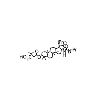 CC(C)C1=C2C3CCC4[C@@]5(C)CC[C@H](OC(=O)CC(C)(C)C(=O)O)C(C)(C)C5CC[C@@]4(C)[C@]3(C)CC[C@@]2(NC(=O)N(C)C(C)C)CC1=O